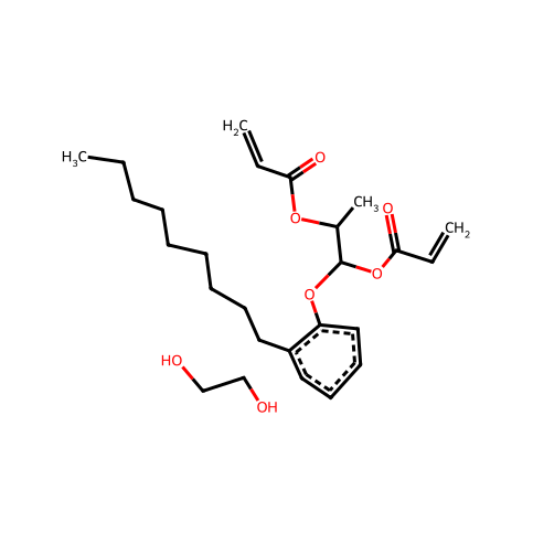 C=CC(=O)OC(C)C(OC(=O)C=C)Oc1ccccc1CCCCCCCCC.OCCO